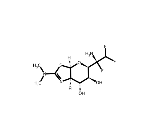 CN(C)C1=N[C@@H]2[C@@H](O)[C@H](O)[C@H]([C@@](N)(F)C(F)F)O[C@@H]2S1